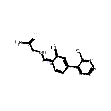 N=C1C=C(c2cccnc2Cl)C=C/C1=C/NCC(N)=O